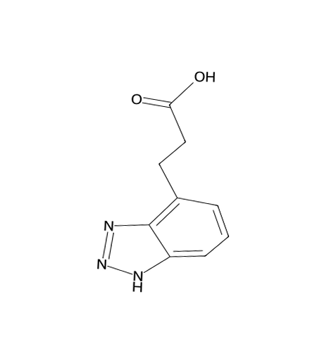 O=C(O)CCc1cccc2[nH]nnc12